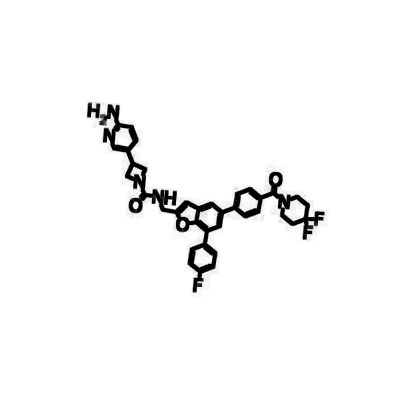 Nc1ccc(C2CN(C(=O)NCc3cc4cc(-c5ccc(C(=O)N6CCC(F)(F)CC6)cc5)cc(-c5ccc(F)cc5)c4o3)C2)cn1